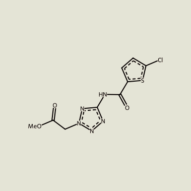 COC(=O)Cn1nnc(NC(=O)c2ccc(Cl)s2)n1